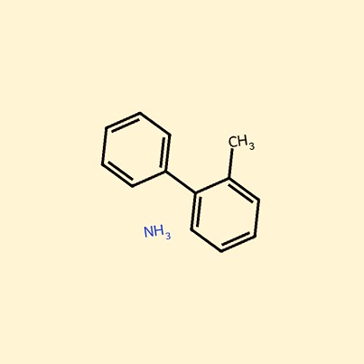 Cc1ccccc1-c1ccccc1.N